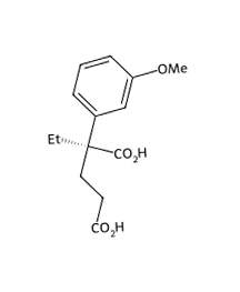 CC[C@@](CCC(=O)O)(C(=O)O)c1cccc(OC)c1